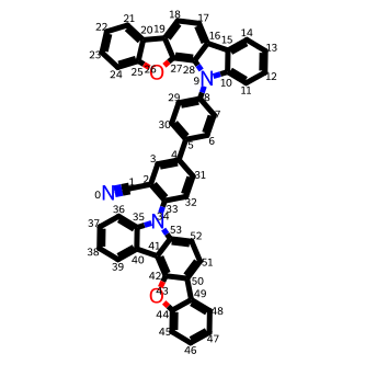 N#Cc1cc(-c2ccc(-n3c4ccccc4c4ccc5c6ccccc6oc5c43)cc2)ccc1-n1c2ccccc2c2c3oc4ccccc4c3ccc21